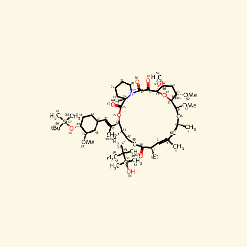 CC[C@@H]1/C=C(\C)C[C@H](C)C[C@H](OC)[C@H]2O[C@@](O)(C(=O)C(=O)N3CCCC[C@H]3C(=O)O[C@H](/C(C)=C/C3CC[C@@H](O[Si](C)(C)C(C)(C)C)[C@H](OC)C3)[C@@H](C)[C@@H](CC(C)(C)[Si](C)(C)O)CC1=O)[C@H](C)C[C@@H]2OC